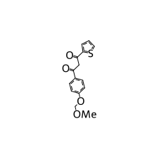 COCOc1ccc(C(=O)CC(=O)c2cccs2)cc1